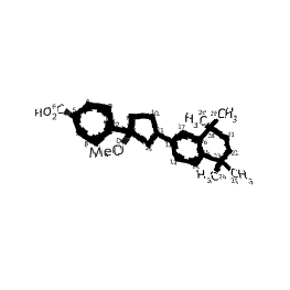 COC1(c2ccc(C(=O)O)cc2)CCC(c2ccc3c(c2)C(C)(C)CCC3(C)C)C1